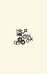 C[SiH](C)OC(C(C1CCC1)[C@@H]1N[C@@H](C(=O)OC(C)(C)C)[C@H](c2cccc(Cl)c2F)[C@@]1(C#N)c1ccc(Cl)cc1F)C(C)(C)C